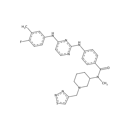 Cc1cc(Nc2ccnc(Nc3ccc(C(=O)N(C)C4CCCN(Cc5csnn5)C4)cc3)n2)ccc1F